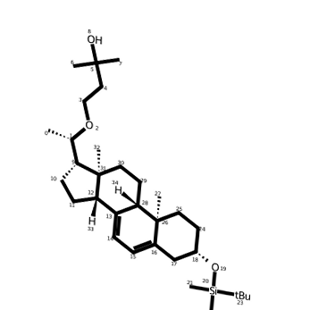 C[C@H](OCCC(C)(C)O)[C@H]1CC[C@H]2C3=CC=C4C[C@@H](O[Si](C)(C)C(C)(C)C)CC[C@]4(C)[C@H]3CC[C@]12C